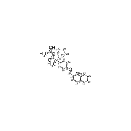 CN(C)OC(=O)C(C)(c1ccc(OCc2ccc3ccccc3n2)cc1)C1CCCCC1